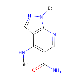 CCn1ncc2c(NC(C)C)c(C(N)=O)cnc21